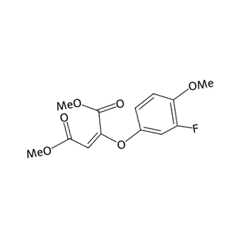 COC(=O)/C=C(/Oc1ccc(OC)c(F)c1)C(=O)OC